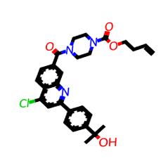 C=CCCOC(=O)N1CCN(C(=O)c2ccc3c(Cl)cc(-c4ccc(C(C)(C)O)cc4)nc3c2)CC1